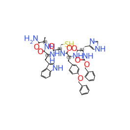 C[C@@H](NC(=O)[C@H](Cc1c[nH]c2ccccc12)NC(=O)[C@H](CS)NC(=O)[C@H](Cc1ccc(OCc2ccccc2)cc1)NC(=O)[C@H](Cc1c[nH]cn1)NC(=O)OCc1ccccc1)C(N)=O